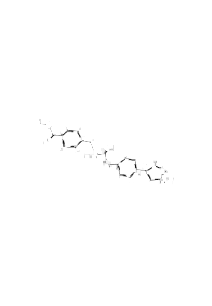 COC(=O)c1ccc(CNC(=O)Nc2ccc(-c3cn[nH]c3)cc2)cc1